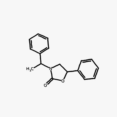 CC(c1ccccc1)N1CC(c2ccccc2)OC1=O